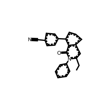 CCc1cc2cccc(-c3ccc(C#N)cc3)c2c(=O)n1-c1ccccc1